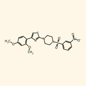 COc1ccc(-c2csc(N3CCN(S(=O)(=O)c4cccc([N+](=O)[O-])c4)CC3)n2)c(OC)c1